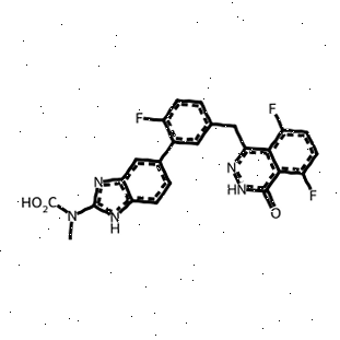 CN(C(=O)O)c1nc2cc(-c3cc(Cc4n[nH]c(=O)c5c(F)ccc(F)c45)ccc3F)ccc2[nH]1